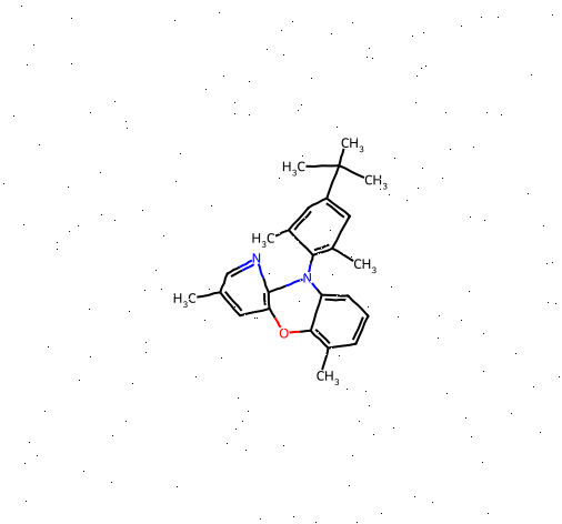 Cc1cnc2c(c1)Oc1c(C)cccc1N2c1c(C)cc(C(C)(C)C)cc1C